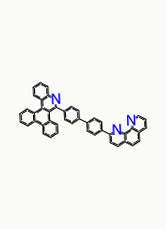 c1cnc2c(c1)ccc1ccc(-c3ccc(-c4ccc(-c5nc6ccccc6c6c7ccccc7c7ccccc7c56)cc4)cc3)nc12